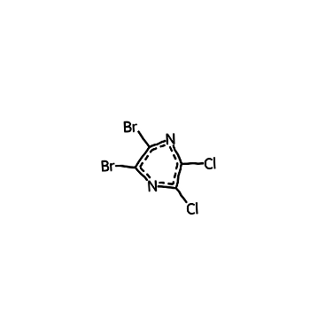 Clc1nc(Br)c(Br)nc1Cl